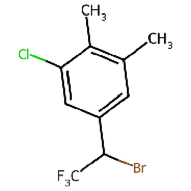 Cc1cc(C(Br)C(F)(F)F)cc(Cl)c1C